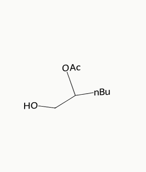 CCCCC(CO)OC(C)=O